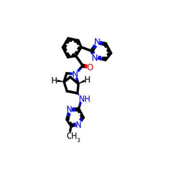 Cc1cnc(N[C@@H]2C[C@H]3C[C@@H]2N(C(=O)c2ccccc2-c2ncccn2)C3)cn1